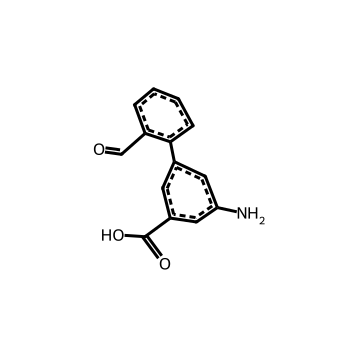 Nc1cc(C(=O)O)cc(-c2ccccc2C=O)c1